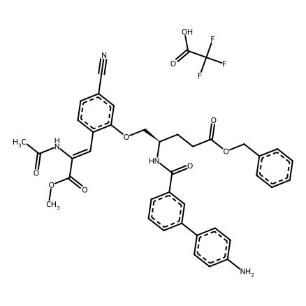 COC(=O)C(=Cc1ccc(C#N)cc1OC[C@@H](CCC(=O)OCc1ccccc1)NC(=O)c1cccc(-c2ccc(N)cc2)c1)NC(C)=O.O=C(O)C(F)(F)F